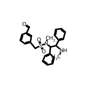 CNC(c1ccccc1)C(c1ccccc1)N(C)S(=O)(=O)Cc1cccc(C=O)c1